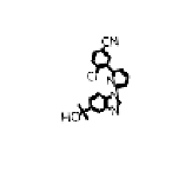 CC(C)(O)c1ccc2c(c1)ncn2-c1cccc(-c2cc(C#N)ccc2Cl)n1